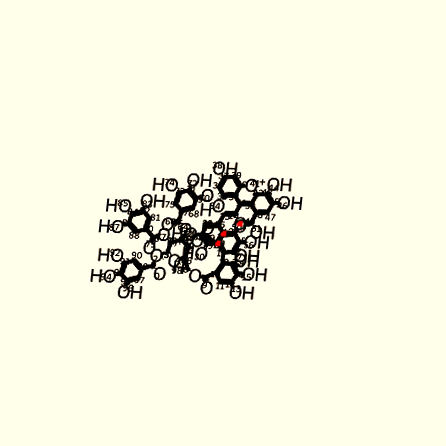 O=C(O[C@@H]1O[C@@H]2COC(=O)c3cc(O)c(O)c(O)c3-c3c(cc(OC4=C(c5ccc(O)c(O)c5)Oc5cc(O)cc6[o+]c7c(O)c(O)cc(C(=O)O)c7c4c56)c(O)c3O)C(=O)O[C@H]2[C@H](OC(=O)c2cc(O)c(O)c(O)c2)[C@H]1OC(=O)c1cc(O)c(O)c(O)c1)c1cc(O)c(O)c(O)c1